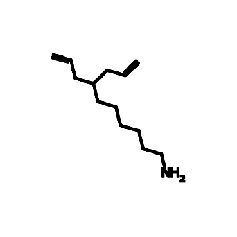 C=CCC(CC=C)CCCCCCN